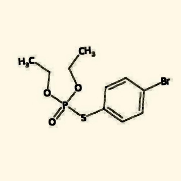 CCOP(=O)(OCC)Sc1ccc(Br)cc1